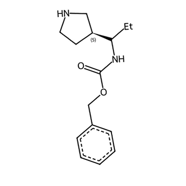 CCC(NC(=O)OCc1ccccc1)[C@H]1CCNC1